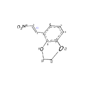 O=[N+]([O-])/C=C/c1cccc2c1OCCO2